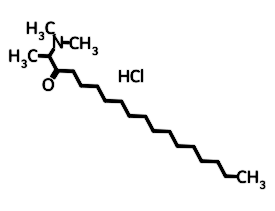 CCCCCCCCCCCCCCCC(=O)C(C)N(C)C.Cl